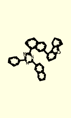 c1ccc(-c2nc(-c3ccc4ccccc4c3)nc(-c3cccc4ccc(-c5cccc6oc7ccccc7c56)cc34)n2)cc1